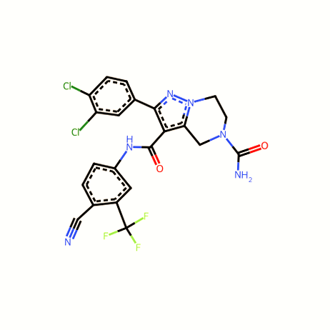 N#Cc1ccc(NC(=O)c2c(-c3ccc(Cl)c(Cl)c3)nn3c2CN(C(N)=O)CC3)cc1C(F)(F)F